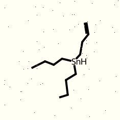 C=CC[CH2][SnH]([CH2]CCC)[CH2]CCC